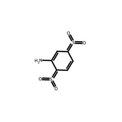 NC1=CC(=S(=O)=O)C=CC1=S(=O)=O